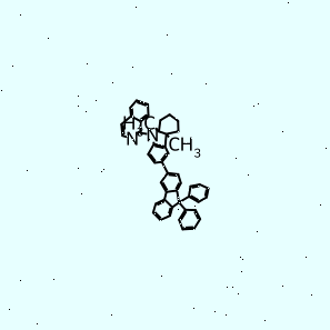 CC12CCCCC1(C)N(c1nccc3ccccc13)c1ccc(-c3ccc4c(c3)-c3ccccc3C4(c3ccccc3)c3ccccc3)cc12